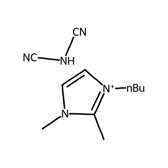 CCCC[n+]1ccn(C)c1C.N#CNC#N